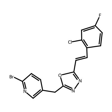 Fc1ccc(C=Cc2nnc(Cc3ccc(Br)nc3)o2)c(Cl)c1